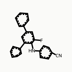 N#Cc1ccc(Nc2c(F)cc(-c3ccccc3)cc2-c2ccccc2)cc1